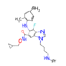 Bc1ccc(Nc2c(C(=O)NOCC3CC3)cc3c(ncn3CCCCNC(C)C)c2F)c(C)c1